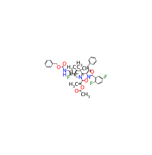 CC[C@@H](CN(C(=O)[C@H](C)OC(C)=O)[C@@H](c1nc(-c2cc(F)ccc2F)oc1Cc1ccccc1)C(C)(C)C)[C@@H](F)CNC(=O)OCc1ccccc1